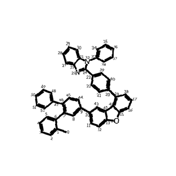 Cc1ccccc1-c1cc(-c2ccc3oc4cccc(-c5ccc(-c6nc7ccccc7n6-c6ccccc6)cc5)c4c3c2)ccc1-c1ccccc1